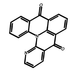 O=c1c2ccccc2n2c3ncccc3c(=O)c3cccc1c32